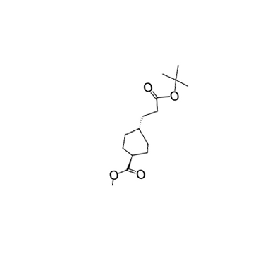 COC(=O)[C@H]1CC[C@H](CCC(=O)OC(C)(C)C)CC1